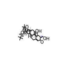 CC1(C)O[C@@H]2C[C@H]3[C@@H]4CCC5=CC(=O)/C(=C\O)C[C@]5(C)[C@H]4[C@@H](O)C[C@]3(C)[C@]2(C(=O)CO[Si](C)(C)C(C)(C)C)O1